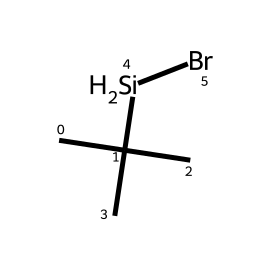 CC(C)(C)[SiH2]Br